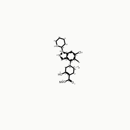 COC(=O)C1=C(O)C[C@@H](c2c(C)c(Cl)cc3c2cnn3C2CCCCO2)[C@H](C)C1